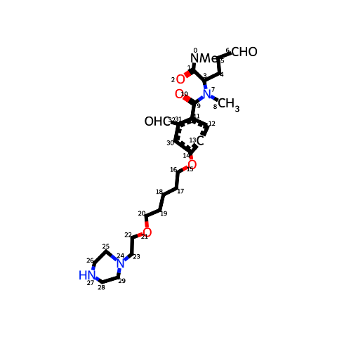 CNC(=O)C(CCC=O)N(C)C(=O)c1ccc(OCCCCCOCCN2CCNCC2)cc1C=O